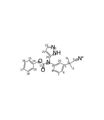 CC(C)(C#N)c1cccc(N(C(=O)Oc2ccccc2)c2ccn[nH]2)c1